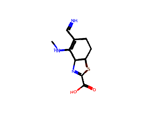 CNC1=C(C=N)CCC2SC(C(=O)O)=NC12